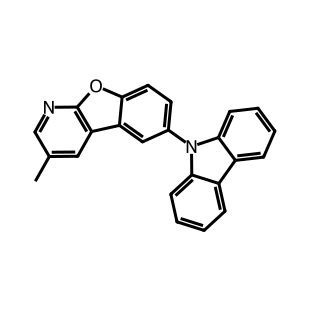 Cc1cnc2oc3ccc(-n4c5ccccc5c5ccccc54)cc3c2c1